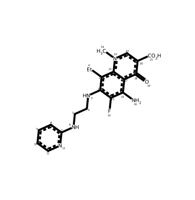 CCc1c(NCCNc2ccccn2)c(F)c(N)c2c(=O)c(C(=O)O)cn(C)c12